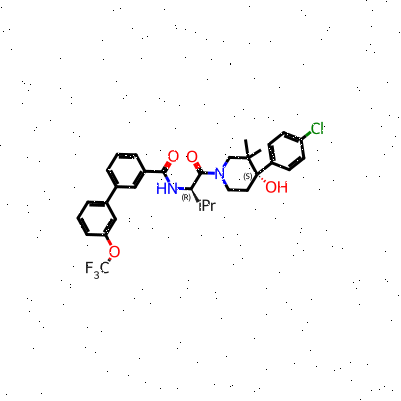 CC(C)[C@@H](NC(=O)c1cccc(-c2cccc(OC(F)(F)F)c2)c1)C(=O)N1CC[C@](O)(c2ccc(Cl)cc2)C(C)(C)C1